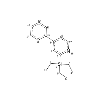 CC[Si](CC)(CC)c1cc(-c2ccccc2)ccn1